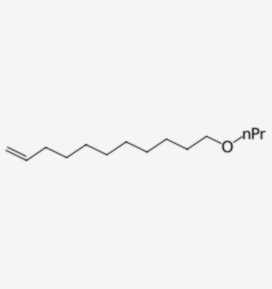 C=CCCCCCCCCCOC[CH]C